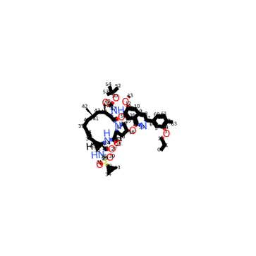 CCCOc1cc(-c2cc3cc(OC)ccc3c(O[C@@H]3C[C@H]4C(=O)N[C@]5(C(=O)NS(=O)(=O)C6CC6)C[C@H]5/C=C\CC[C@@H](C)C[C@@H](C)[C@H](NC(=O)OC(C)(C)C)C(=O)N4C3)n2)ccc1C